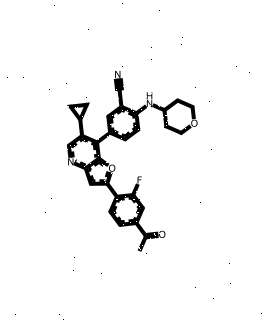 CC(=O)c1ccc(-c2cc3ncc(C4CC4)c(-c4ccc(NC5CCOCC5)c(C#N)c4)c3o2)c(F)c1